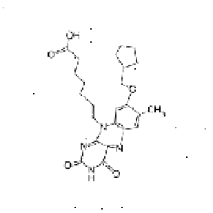 Cc1cc2nc3c(=O)[nH]c(=O)nc-3n(CCCCCCC(=O)O)c2cc1OCC1CCCC1